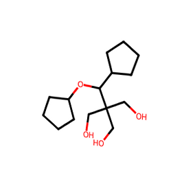 OCC(CO)(CO)C(OC1CCCC1)C1CCCC1